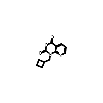 O=c1oc(=O)n(CC2CCC2)c2ncccc12